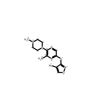 CC(=O)c1conc1Sc1cnc(N2CCN(C)CC2)c(N)n1